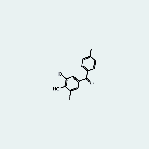 Cc1ccc(C(=O)c2cc(O)c(O)c(I)c2)cc1